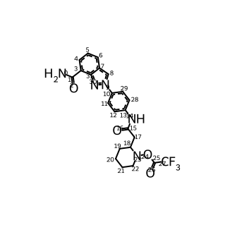 NC(=O)c1cccc2cn(-c3ccc(NC(=O)CC4CCCCN4OC(=O)C(F)(F)F)cc3)nc12